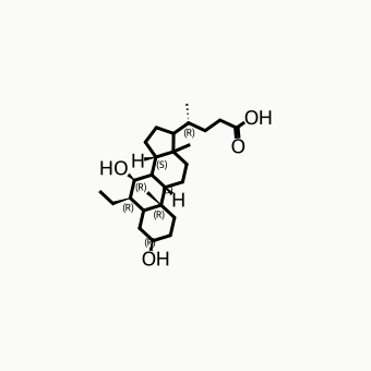 CC[C@@H]1C2C[C@H](O)CC[C@@]2(C)[C@H]2CCC3(C)C([C@H](C)CCC(=O)O)CC[C@H]3C2[C@@H]1O